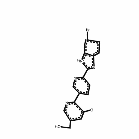 OCc1cnc(-c2ccc(-c3nc4ccc(Br)cc4[nH]3)nc2)c(Cl)c1